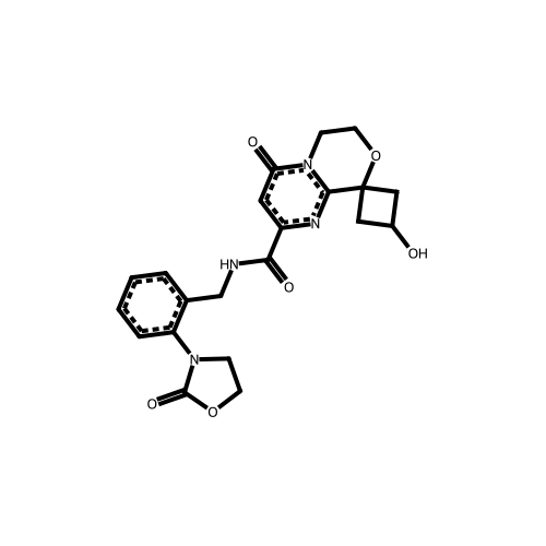 O=C(NCc1ccccc1N1CCOC1=O)c1cc(=O)n2c(n1)C1(CC(O)C1)OCC2